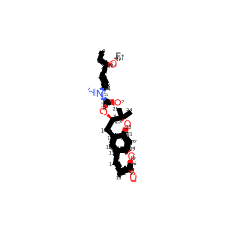 C/C=C(/C=C/NC(=O)O[C@@H]1Cc2cc3ccc(=O)oc3cc2OC1(C)C)OCC